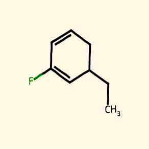 CCC1C=C(F)C=CC1